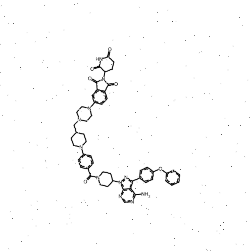 Nc1ncnc2c1c(-c1ccc(Oc3ccccc3)cc1)nn2C1CCN(C(=O)c2ccc(N3CCC(CN4CCN(c5ccc6c(c5)C(=O)N(C5CCC(=O)NC5=O)C6=O)CC4)CC3)cc2)CC1